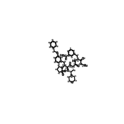 CC(C)(C)OC(=O)[C@H](Cc1cccc(BO)c1)NC(=O)[C@H](CCN1CCOCC1)NC(=O)[C@H](Cc1cccc(OCc2ccccc2)c1)N1CCCS1(=O)=O